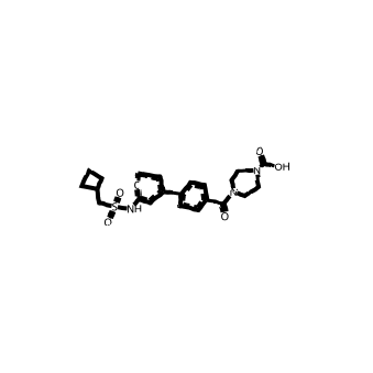 O=C(O)N1CCN(C(=O)c2ccc(-c3cccc(NS(=O)(=O)CC4CCC4)c3)cc2)CC1